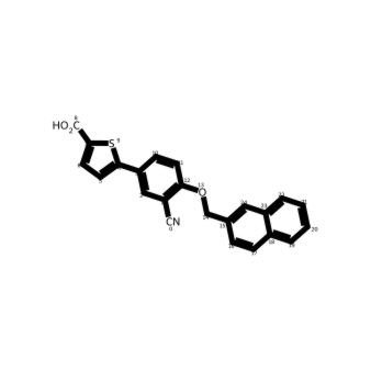 N#Cc1cc(-c2ccc(C(=O)O)s2)ccc1OCc1ccc2ccccc2c1